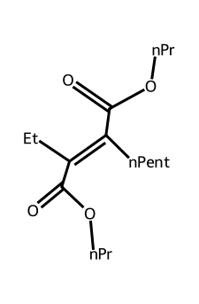 CCCCCC(C(=O)OCCC)=C(CC)C(=O)OCCC